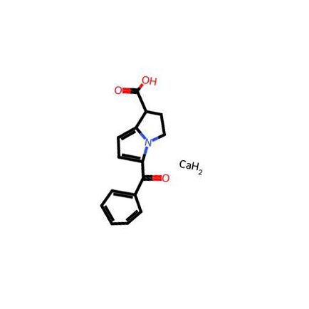 O=C(c1ccccc1)c1ccc2n1CCC2C(=O)O.[CaH2]